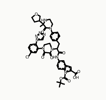 CC(C)(C)OC(=O)n1c(C(=O)O)cc2cc(NC(=O)C(Cc3ccc(N4CCNC(C)(C5CCOC5)C4=O)cc3)N3CCN(c4cc(Cl)ccc4-n4cnnn4)C(=O)C3=O)ccc21